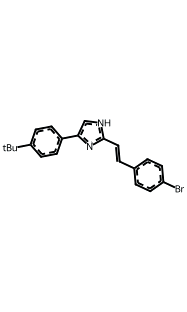 CC(C)(C)c1ccc(-c2c[nH]c(C=Cc3ccc(Br)cc3)n2)cc1